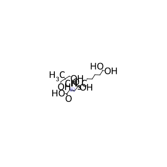 CC(C)(CO)CO.CCCCCC(O)O.O=C(O)/C=C/C(=O)O